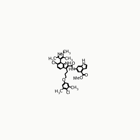 COC(=O)c1cc(NC(=O)c2[nH]c3c(-c4c(C)nn(C)c4C)c(Cl)ccc3c2CCCOc2cc(C)c(Cl)c(C)c2)cc2[nH]ccc12